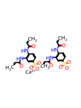 C=CC(=O)Nc1ccc(S(=O)(=O)[O-])cc1NC(=O)C=C.C=CC(=O)Nc1ccc(S(=O)(=O)[O-])cc1NC(=O)C=C.[Ca+2]